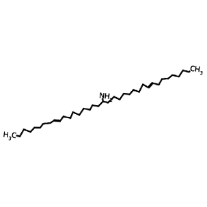 CCCCCCCCC=CCCCCCCCCC(N)CCCCCCCCC=CCCCCCCCC